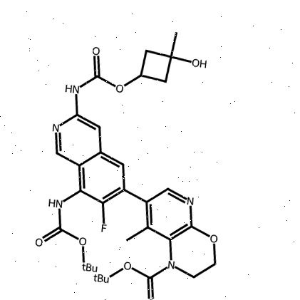 Cc1c(-c2cc3cc(NC(=O)OC4CC(C)(O)C4)ncc3c(NC(=O)OC(C)(C)C)c2F)cnc2c1N(C(=O)OC(C)(C)C)CCO2